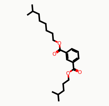 CC(C)CCCCCCOC(=O)c1cccc(C(=O)OCCCC(C)C)c1